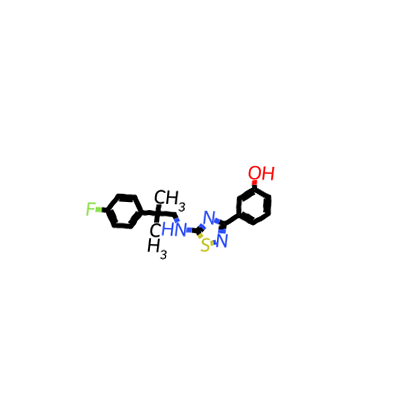 CC(C)(CNc1nc(-c2cccc(O)c2)ns1)c1ccc(F)cc1